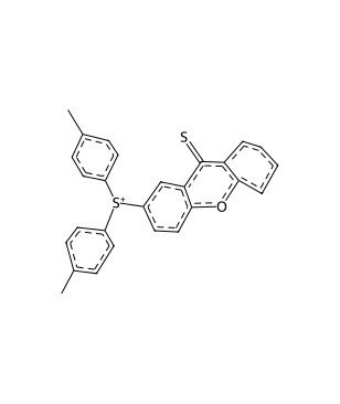 Cc1ccc([S+](c2ccc(C)cc2)c2ccc3oc4ccccc4c(=S)c3c2)cc1